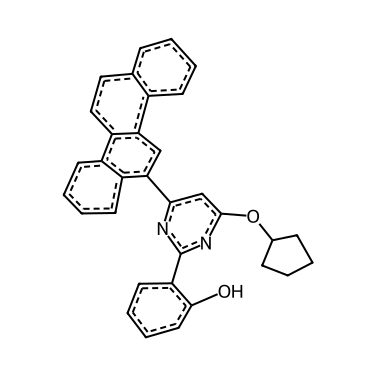 Oc1ccccc1-c1nc(OC2CCCC2)cc(-c2cc3c4ccccc4ccc3c3ccccc23)n1